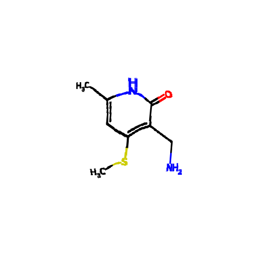 CSc1cc(C)[nH]c(=O)c1CN